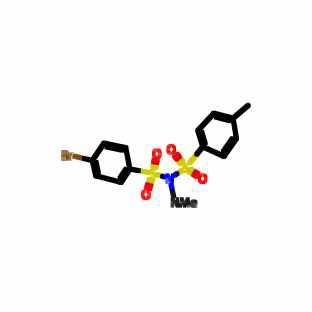 CNN(S(=O)(=O)c1ccc(C)cc1)S(=O)(=O)c1ccc(Br)cc1